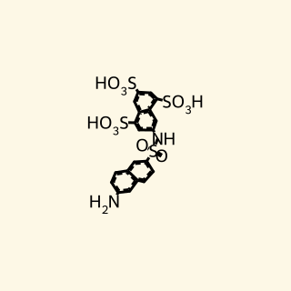 Nc1ccc2cc(S(=O)(=O)Nc3cc(S(=O)(=O)O)c4cc(S(=O)(=O)O)cc(S(=O)(=O)O)c4c3)ccc2c1